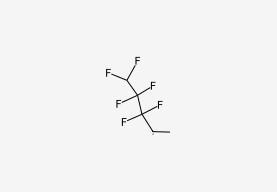 C[CH]C(F)(F)C(F)(F)C(F)F